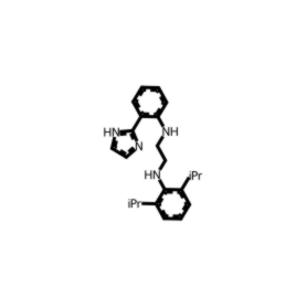 CC(C)c1cccc(C(C)C)c1NCCNc1ccccc1-c1ncc[nH]1